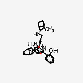 CC1C2CCC(C2)C1NCC#Cc1cc(N2C3CCC2CN(c2cc(-c4ccccc4O)nnc2N)C3)ccn1